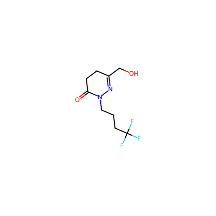 O=C1CCC(CO)=NN1CCCC(F)(F)F